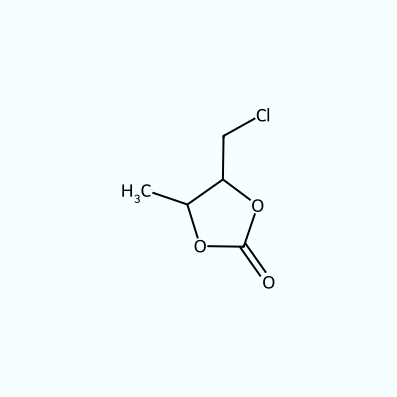 CC1OC(=O)OC1CCl